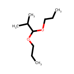 CCCOC(OCCC)[C](C)C